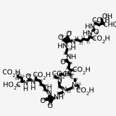 O=CC(CO)CC(NC(=O)NC(CCCCNc1c(NCCNC(=O)CCC(C(=O)O)N2CCN(CC(=O)O)CCN(CCNc3c(NCCCCC(NC(=O)NC(CCC(=O)O)C(=O)O)C(=O)O)c(=O)c3=O)CCN(CC(=O)O)CC2)c(=O)c1=O)C(=O)O)C(=O)O